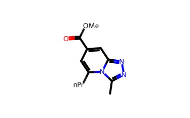 CCCc1cc(C(=O)OC)cc2nnc(C)n12